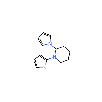 [c]1csc(N2CCCCC2n2cccc2)c1